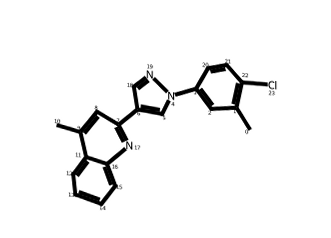 Cc1cc(-n2cc(-c3cc(C)c4ccccc4n3)cn2)ccc1Cl